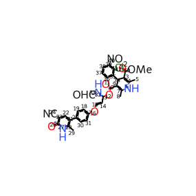 COC(=O)C1=C(C)NC(C)=C(C(=O)OC(C=COc2ccc(-c3cc(C#N)c(=O)[nH]c3C)cc2)NC=O)C1c1cccc([N+](=O)[O-])c1Cl